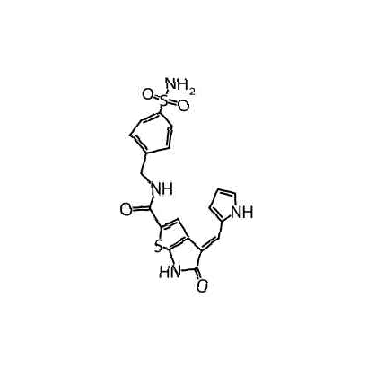 NS(=O)(=O)c1ccc(CNC(=O)c2cc3c(s2)NC(=O)/C3=C/c2ccc[nH]2)cc1